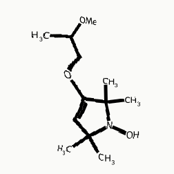 COC(C)COC1=CC(C)(C)N(O)C1(C)C